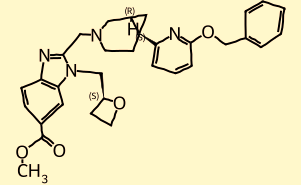 COC(=O)c1ccc2nc(CN3CC[C@@]4(c5cccc(OCc6ccccc6)n5)C[C@H]4C3)n(C[C@@H]3CCO3)c2c1